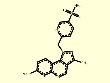 COc1ccc2c(ncc3c(C)nn(Cc4ccc(S(N)(=O)=O)cn4)c32)n1